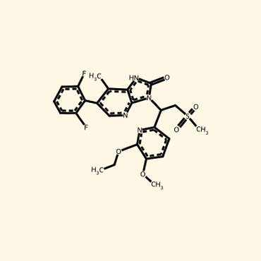 CCOc1nc(C(CS(C)(=O)=O)n2c(=O)[nH]c3c(C)c(-c4c(F)cccc4F)cnc32)ccc1OC